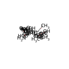 CCCCCCC/C=C\CCCC(CC(=O)OC1CN(C)C(C(O[C@H]2C[C@H](O)[C@@H](CN)O2)[C@H]2O[C@@H](n3ccc(=O)[nH]c3=O)C[C@@H]2O)C(=O)N(C)C1C(=O)O)OC(=O)CC(C)CC(=O)OC1OC(CC)C(OC)C(OC(=O)CCC(=O)O)C1OC